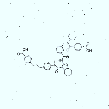 CCC(CC)N(Cc1cccc(C(=O)Nc2sc3c(c2C(=O)Nc2ccc(CCCc4ccc(C(=O)O)cc4)cc2)CCCC3)c1)C(=O)c1ccc(C(=O)O)cc1